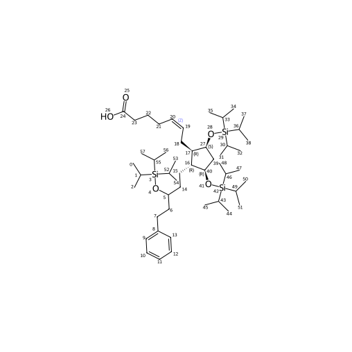 CC(C)[Si](OC(CCc1ccccc1)CC[C@@H]1[C@@H](C/C=C\CCCC(=O)O)[C@@H](O[Si](C(C)C)(C(C)C)C(C)C)C[C@H]1O[Si](C(C)C)(C(C)C)C(C)C)(C(C)C)C(C)C